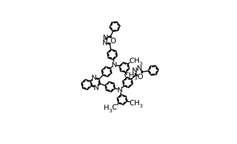 Cc1cc(C)cc(N(c2ccc(-c3nnc(-c4ccccc4)o3)cc2)c2ccc(-c3nc4ccccc4nc3-c3ccc(N(c4ccc(-c5nnc(-c6ccccc6)o5)cc4)c4cc(C)cc(C)c4)cc3)cc2)c1